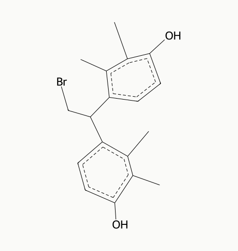 Cc1c(O)ccc(C(CBr)c2ccc(O)c(C)c2C)c1C